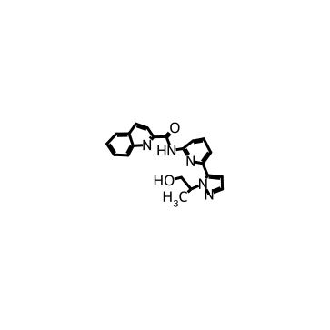 CC(CO)n1nccc1-c1cccc(NC(=O)c2ccc3ccccc3n2)n1